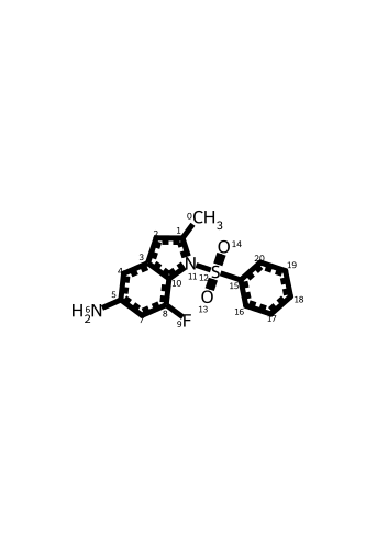 Cc1cc2cc(N)cc(F)c2n1S(=O)(=O)c1ccccc1